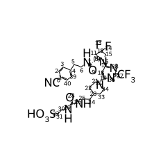 N#Cc1ccc(CCNC(=O)[C@@H]2CC(F)(F)CN2c2cc(N3CCC(CCNC(=O)NCCS(=O)(=O)O)CC3)nc(C(F)(F)F)n2)cc1